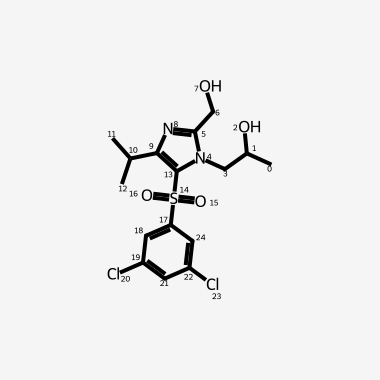 CC(O)Cn1c(CO)nc(C(C)C)c1S(=O)(=O)c1cc(Cl)cc(Cl)c1